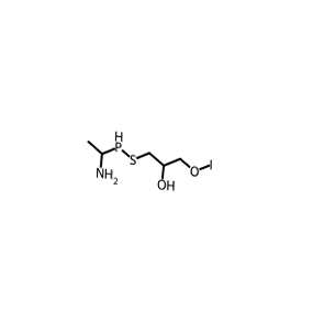 CC(N)PSCC(O)COI